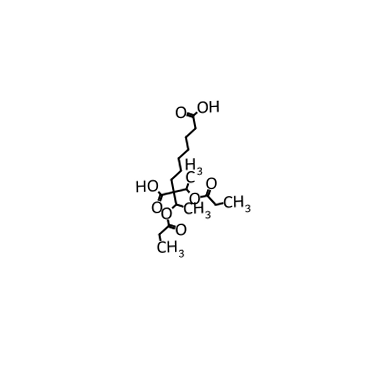 CCC(=O)OC(C)C(CCCCCCC(=O)O)(C(=O)O)C(C)OC(=O)CC